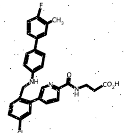 Cc1cc(-c2ccc(NCc3ccc(Cl)cc3-c3ccc(C(=O)NCCC(=O)O)nc3)cc2)ccc1F